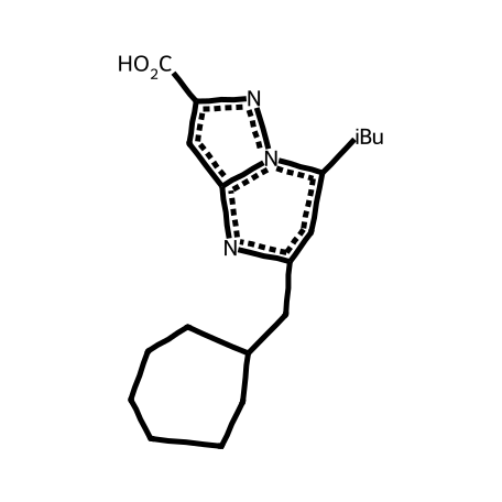 CCC(C)c1cc(CC2CCCCCC2)nc2cc(C(=O)O)nn12